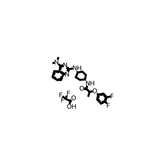 CC(Oc1ccc(F)c(F)c1)C(=O)N[C@H]1CC[C@@H](Nc2nc(N(C)C)c3ccccc3n2)CC1.O=C(O)C(F)(F)F